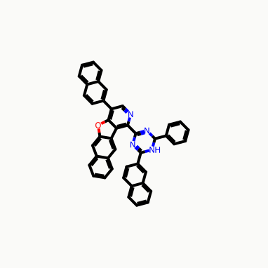 c1ccc(C2N=C(c3ncc(-c4ccc5ccccc5c4)c4oc5cc6ccccc6cc5c34)N=C(c3ccc4ccccc4c3)N2)cc1